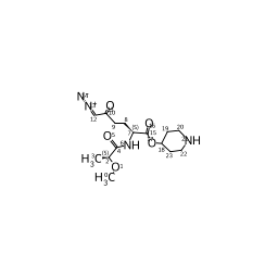 CO[C@@H](C)C(=O)N[C@@H](CCC(=O)C=[N+]=[N-])C(=O)OC1CCNCC1